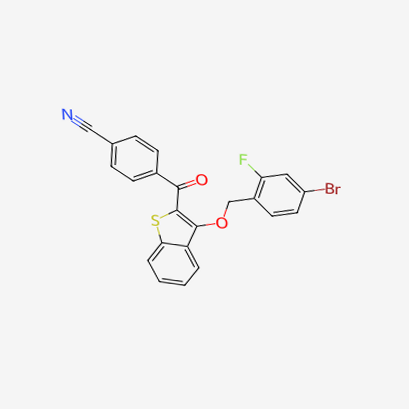 N#Cc1ccc(C(=O)c2sc3ccccc3c2OCc2ccc(Br)cc2F)cc1